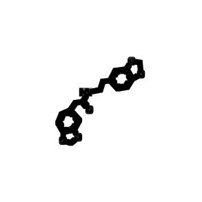 O=C(Cc1ccc2c(c1)OCO2)NCCc1ccc2c(c1)OCO2